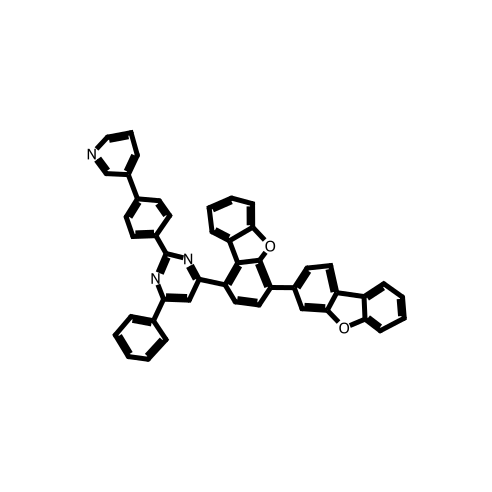 c1ccc(-c2cc(-c3ccc(-c4ccc5c(c4)oc4ccccc45)c4oc5ccccc5c34)nc(-c3ccc(-c4cccnc4)cc3)n2)cc1